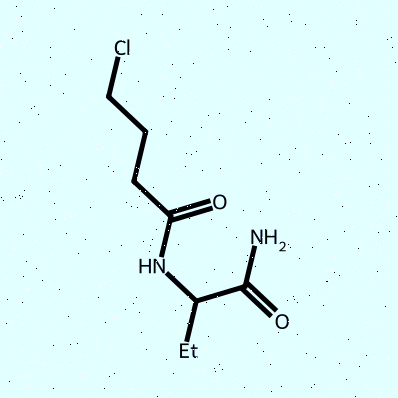 CCC(NC(=O)CCCCl)C(N)=O